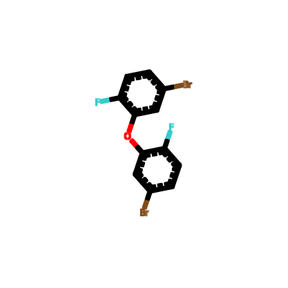 Fc1ccc(Br)cc1Oc1cc(Br)ccc1F